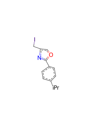 CC(C)c1ccc(-c2nc(CI)co2)cc1